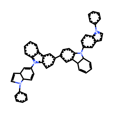 C1=CC2c3cc(-c4ccc5c(c4)c4ccccc4n5C4=CC5C=CN(c6ccccc6)C5C=C4)ccc3N(c3ccc4c(ccn4-c4ccccc4)c3)C2C=C1